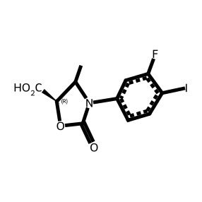 CC1[C@H](C(=O)O)OC(=O)N1c1ccc(I)c(F)c1